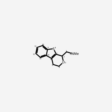 CNCC1OCCc2c1sc1ccccc21